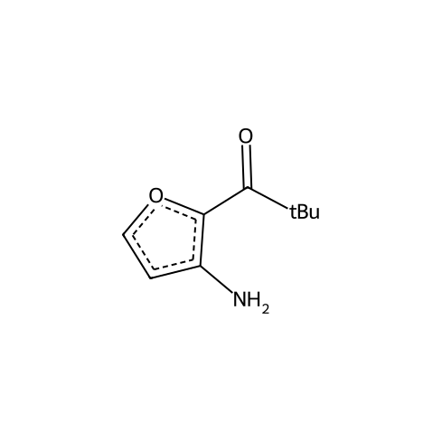 CC(C)(C)C(=O)c1occc1N